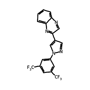 FC(F)(F)c1cc(-n2cc(-c3cnc4ccccc4n3)cn2)cc(C(F)(F)F)c1